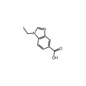 O=C(O)c1ccc2c(c1)ncn2CI